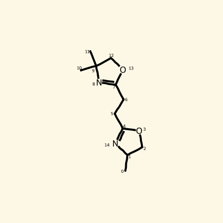 CC1COC(CCC2=NC(C)(C)CO2)=N1